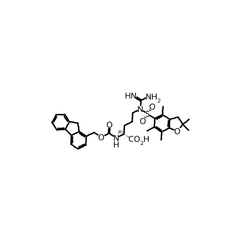 Cc1c(C)c(S(=O)(=O)N(CCC[C@@H](NC(=O)OCc2cccc3c2Cc2ccccc2-3)C(=O)O)C(=N)N)c(C)c2c1OC(C)(C)C2